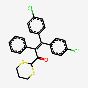 O=C(C(=C(c1ccc(Cl)cc1)c1ccc(Cl)cc1)c1ccccc1)C1SCCCS1